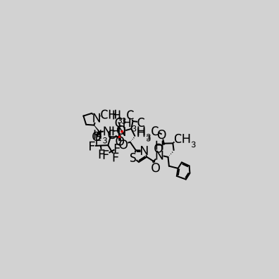 COC(=O)[C@@H](C)C[C@H](Cc1ccccc1)NC(=O)c1csc([C@@H](CC(C(C)C)N(C)C(=O)[C@H](NC(=O)[C@H]2CCCN2C)C(C(F)(F)F)C(F)(F)F)OC(C)=O)n1